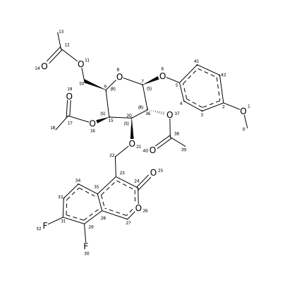 COc1ccc(O[C@@H]2O[C@H](COC(C)=O)[C@H](OC(C)=O)[C@H](OCc3c(=O)occ4c(F)c(F)ccc34)[C@H]2OC(C)=O)cc1